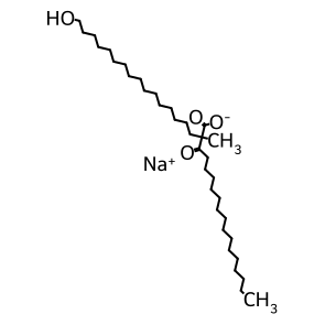 CCCCCCCCCCCCCCCC(=O)C(C)(CCCCCCCCCCCCCCCCO)C(=O)[O-].[Na+]